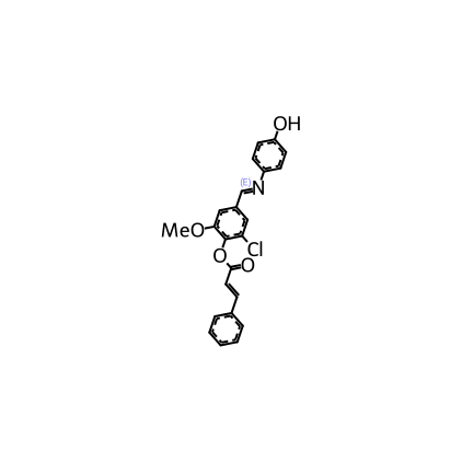 COc1cc(/C=N/c2ccc(O)cc2)cc(Cl)c1OC(=O)C=Cc1ccccc1